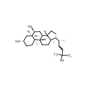 C[C@H](/C=C/C(O)(C(F)(F)F)C(F)(F)F)[C@H]1CC[C@H]2[C@@H]3C[C@H](O)[C@@H]4C[C@@H](O)CC[C@]4(C)[C@H]3CC[C@]12C